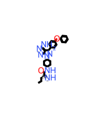 CCC[C@H](NC)C(=O)NC1CCC(n2nc(-c3ccc(Oc4ccccc4)cc3)c3c(N)ncnc32)CC1